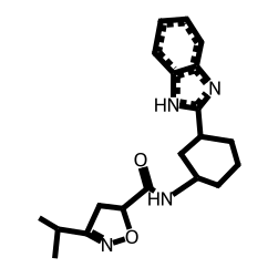 CC(C)C1=NOC(C(=O)NC2CCCC(c3nc4ccccc4[nH]3)C2)C1